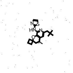 C[C@H]1CC2(CCC2)Oc2c1cc(CC(C)(C)C)nc2Nc1nccs1